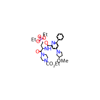 CCOC(=O)N1CCN(C(=O)C(CCP(=O)(OCC)OCC)NC(=O)c2cc(N3CCC(OC)C3)cc(-c3ccccc3)n2)CC1